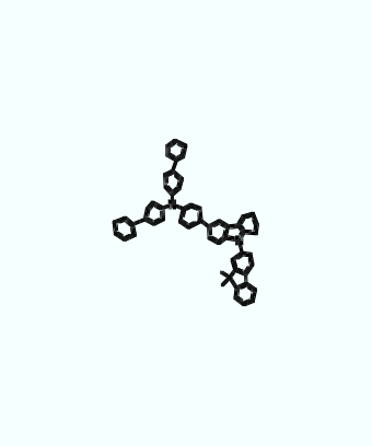 CC1(C)c2ccccc2-c2ccc(-n3c4ccccc4c4cc(-c5ccc(N(c6ccc(-c7ccccc7)cc6)c6ccc(-c7ccccc7)cc6)cc5)ccc43)cc21